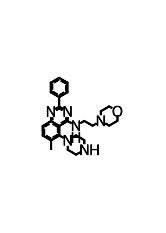 Cc1ccc2nc(-c3ccccc3)nc(NCCN3CCOCC3)c2c1N1CCNCC1